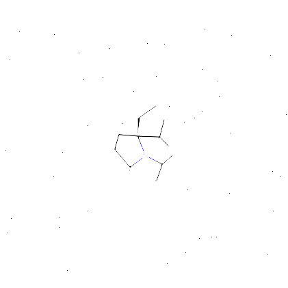 CC[C@]1(C(C)C)CCCN1C(C)C